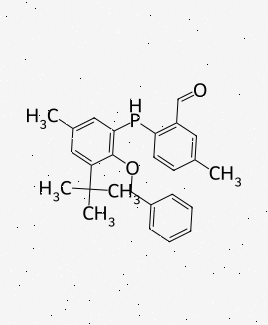 Cc1ccc(Pc2cc(C)cc(C(C)(C)C)c2OCc2ccccc2)c(C=O)c1